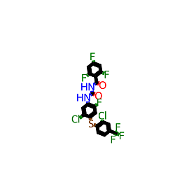 O=C(NC(=O)c1c(F)cc(F)cc1F)Nc1cc(Cl)c(Sc2ccc(C(F)(F)F)cc2Cl)cc1F